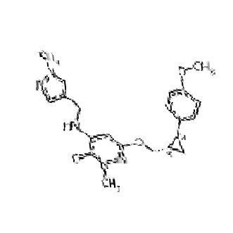 COc1ccc([C@H]2C[C@@H]2COc2cc(NCc3cnn(C)c3)c(=O)n(C)n2)nc1